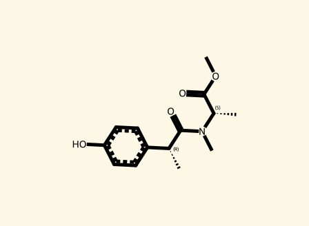 COC(=O)[C@H](C)N(C)C(=O)[C@H](C)c1ccc(O)cc1